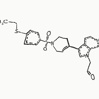 CCSc1ccc(S(=O)(=O)N2CC=C(c3cn(CC=O)c4cnccc34)CC2)cc1